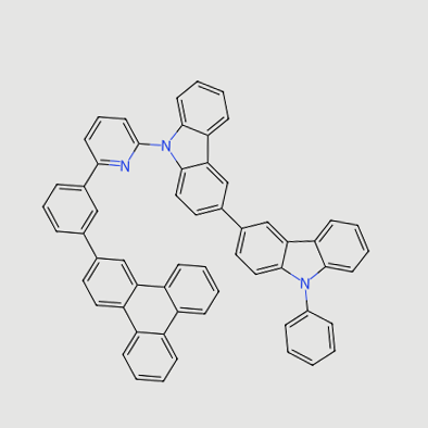 c1ccc(-n2c3ccccc3c3cc(-c4ccc5c(c4)c4ccccc4n5-c4cccc(-c5cccc(-c6ccc7c8ccccc8c8ccccc8c7c6)c5)n4)ccc32)cc1